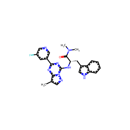 Cc1cnn2c(N[C@@H](Cc3c[nH]c4ccccc34)C(=O)N(C)C)nc(-c3cncc(F)c3)nc12